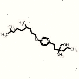 CCCC(N)(CO)CCc1ccc(OCCCC(C)CCCC(C)C)cc1